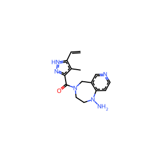 C=Cc1[nH]nc(C(=O)N2CCN(N)c3ccncc3C2)c1C